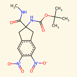 CNC(=O)C1(NC(=O)OC(C)(C)C)Cc2cc([N+](=O)[O-])c([N+](=O)[O-])cc2C1